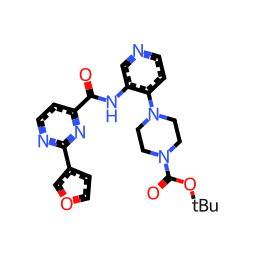 CC(C)(C)OC(=O)N1CCN(c2ccncc2NC(=O)c2ccnc(-c3ccoc3)n2)CC1